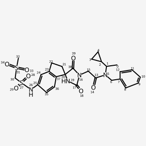 CC(C1CC1)N(Cc1ccccc1)C(=O)CN1C(=O)NC2(CCc3cc(NS(=O)(=O)CS(C)(=O)=O)ccc32)C1=O